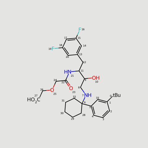 CC(C)(C)c1cccc(C2(NCC(O)C(Cc3cc(F)cc(F)c3)NC(=O)COCC(=O)O)CCCCC2)c1